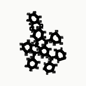 c1ccc(N(c2ccccc2)c2cc3c4c(c2)N(c2ccccc2)c2cc5c(cc2B4c2ccccc2N3c2ccccc2)Oc2ccccc2O5)cc1